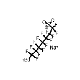 CCCCC(F)(F)C(F)(F)C(F)(F)C(F)(F)C(F)(F)C(F)(F)C(F)(F)S(=O)(=O)[O-].[Na+]